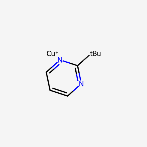 CC(C)(C)c1ncccn1.[Cu+]